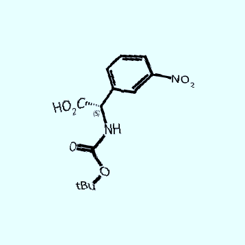 CC(C)(C)OC(=O)N[C@H](C(=O)O)c1cccc([N+](=O)[O-])c1